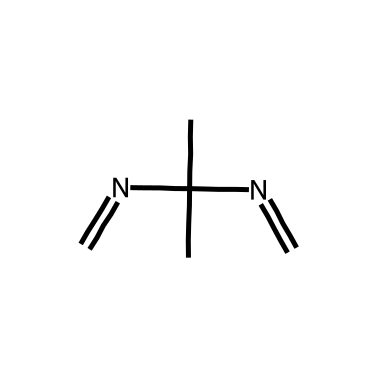 C=NC(C)(C)N=C